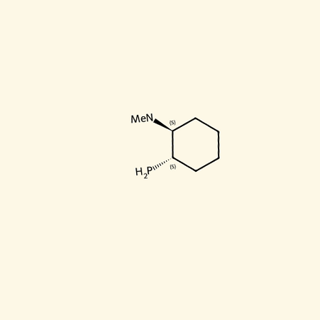 CN[C@H]1CCCC[C@@H]1P